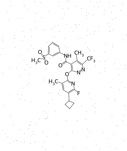 Cc1cc(C2CCC2)c(F)nc1Oc1nnc(C(F)(F)F)c(C)c1C(=O)Nc1cccc(S(C)(=O)=O)c1